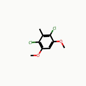 COc1cc(OC)c(Cl)c(C)c1Cl